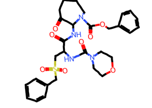 O=C(NC1C(=O)CCCCN1C(=O)OCc1ccccc1)C(CS(=O)(=O)Cc1ccccc1)NC(=O)N1CCOCC1